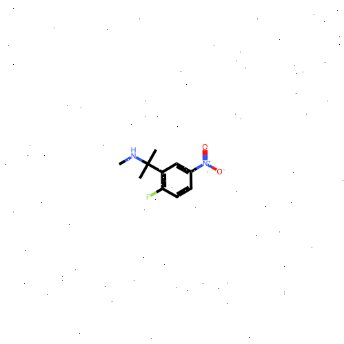 CNC(C)(C)c1cc([N+](=O)[O-])ccc1F